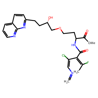 C=N/C=C(Cl)\C(C(=O)NC(CCOC[C@@H](O)CCc1ccc2cccnc2n1)C(=O)OC)=C(/C)F